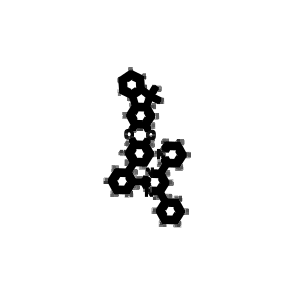 CC1(C)c2ccccc2-c2cc3c(cc21)Oc1ccc(-c2ccccc2-c2nc(-c4ccccc4)cc(-c4ccccn4)n2)cc1O3